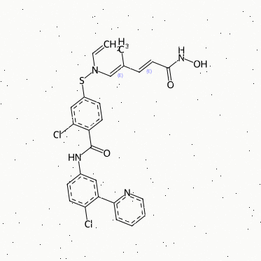 C=CN(/C=C(C)/C=C/C(=O)NO)Sc1ccc(C(=O)Nc2ccc(Cl)c(-c3ccccn3)c2)c(Cl)c1